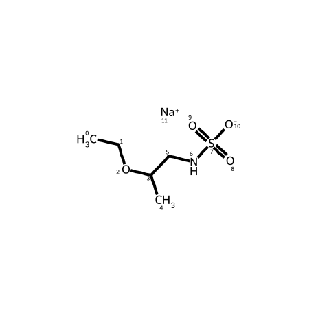 CCOC(C)CNS(=O)(=O)[O-].[Na+]